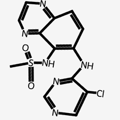 CS(=O)(=O)Nc1c(Nc2ncncc2Cl)ccc2nccnc12